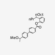 CCCCCCCCC(CCC)c1ccccc1OC(=O)c1ccc(-c2ccc(C(C)OC)cc2)cc1